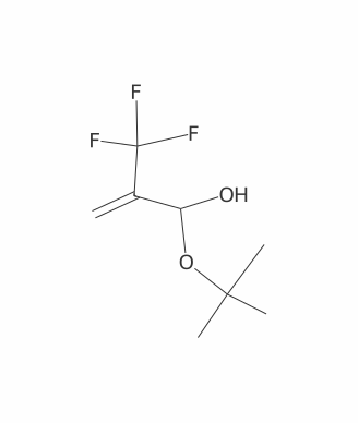 C=C(C(O)OC(C)(C)C)C(F)(F)F